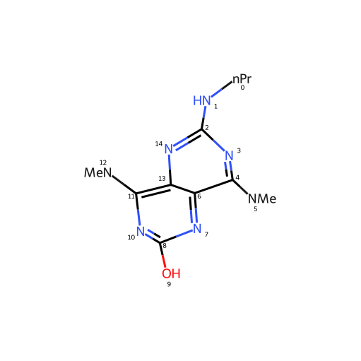 CCCNc1nc(NC)c2nc(O)nc(NC)c2n1